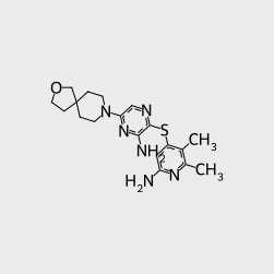 Cc1nc(N)cc(Sc2ncc(N3CCC4(CCOC4)CC3)nc2N)c1C